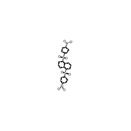 O=[N+]([O-])c1ccc(S(=O)(=O)c2cccc3c(S(=O)(=O)c4ccc([N+](=O)[O-])cc4)cccc23)cc1